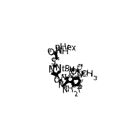 CCCCCCNC(=O)CSc1ncc(Oc2nc(N)c3c(n2)[nH]c2c(N(C)C(=O)OC(C)(C)C)cc(F)cc23)cn1